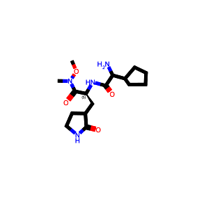 CON(C)C(=O)[C@H](CC1CCNC1=O)NC(=O)C(N)C1CCCC1